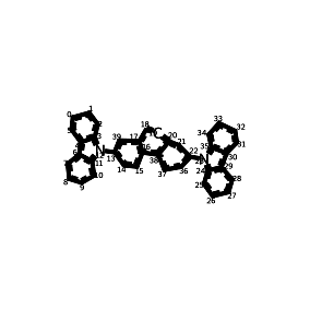 c1ccc2c(c1)c1ccccc1n2-c1ccc2c(ccc3cc(-n4c5ccccc5c5ccccc54)ccc32)c1